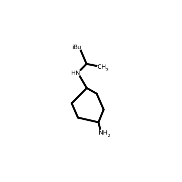 CCC(C)C(C)NC1CCC(N)CC1